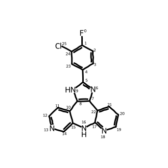 Fc1ccc(-c2nc3c([nH]2)-c2ccncc2Nc2ncccc2-3)cc1Cl